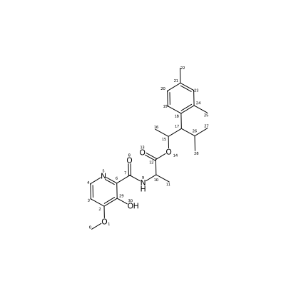 COc1ccnc(C(=O)NC(C)C(=O)OC(C)C(c2ccc(C)cc2C)C(C)C)c1O